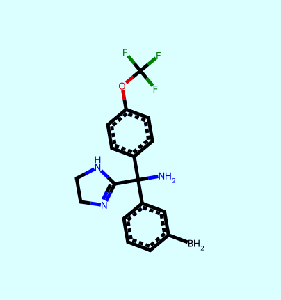 Bc1cccc(C(N)(C2=NCCN2)c2ccc(OC(F)(F)F)cc2)c1